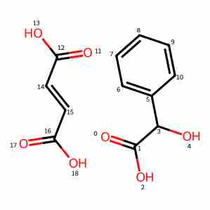 O=C(O)C(O)c1ccccc1.O=C(O)C=CC(=O)O